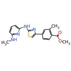 CNc1cccc(Nc2nc(-c3ccc(C(=O)OC)c(C)c3)cs2)n1